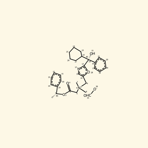 C[C@@H](OC(=O)C[N+](C)(C)Cc1cnc([C@](O)(c2ccccc2)C2CCCCC2)o1)c1ccccc1.O=C[O-]